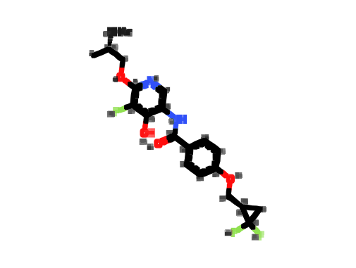 CC(=O)N[C@@H](C)COc1ncc(NC(=O)c2ccc(OC[C@H]3CC3(F)F)cc2)c(O)c1F